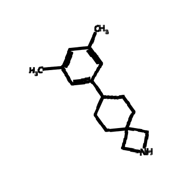 Cc1cc(C)cc(C2CCC3(CC2)CNC3)c1